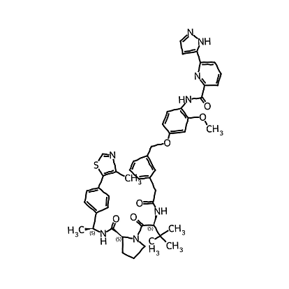 COc1cc(OCc2cccc(CC(=O)N[C@H](C(=O)N3CCC[C@H]3C(=O)N[C@@H](C)c3ccc(-c4scnc4C)cc3)C(C)(C)C)c2)ccc1NC(=O)c1cccc(-c2ccn[nH]2)n1